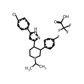 CC(C)N1CCC(c2cc(-c3ccc(Cl)cc3)[nH]n2)C(c2ccc(F)cc2)C1.O=C(O)C(F)(F)F